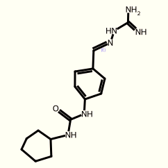 N=C(N)N/N=C/c1ccc(NC(=O)NC2CCCCC2)cc1